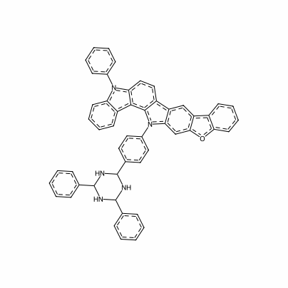 c1ccc(C2NC(c3ccccc3)NC(c3ccc(-n4c5cc6oc7ccccc7c6cc5c5ccc6c(c7ccccc7n6-c6ccccc6)c54)cc3)N2)cc1